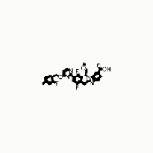 COCCn1c(Cc2cc(F)c(-c3nccc(OCc4ccc(C)cc4F)n3)cc2F)nc2ccc(C(=O)O)cc21